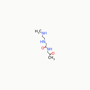 CNCCNCC(=O)NCC(C)=O